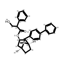 C[N+]1(Cc2ccc(-c3ccccc3)cc2)[C@@H]2CC[C@H]1C[C@@H](OC(=O)C(CO)c1ccccc1)C2